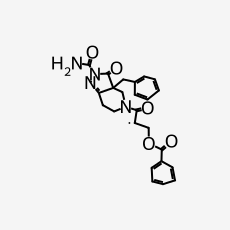 NC(=O)N1N=C2CCN(C(=O)[CH]COC(=O)c3ccccc3)CC2(Cc2ccccc2)C1=O